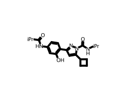 CC(C)NC(=O)n1nc(-c2ccc(NC(=O)C(C)C)cc2O)cc1C1CCC1